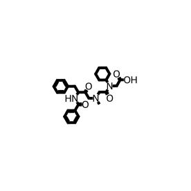 CN(CC(=O)C(Cc1ccccc1)NC(=O)c1ccccc1)CC(=O)N(CC(=O)O)C1CCCCC1